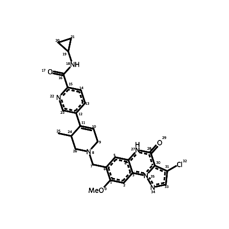 COc1cc2c(cc1CN1CC=C(c3ccc(C(=O)NC4CC4)nc3)C(C)C1)[nH]c(=O)c1c(Cl)cnn12